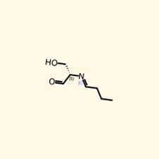 CCC/C=N/[C@H](C=O)CO